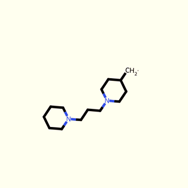 [CH2]C1CCN(CCCN2CCCCC2)CC1